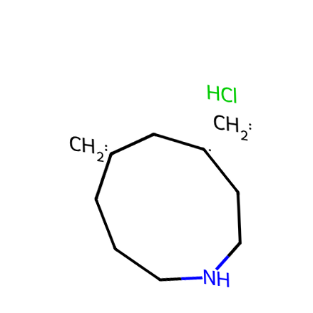 Cl.[CH2].[CH2].[CH]1CCCCCNCC1